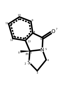 C[C@]12SCCN1C(=O)c1ccccc12